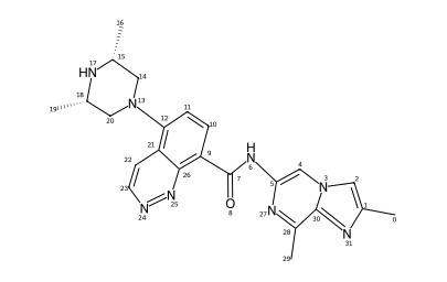 Cc1cn2cc(NC(=O)c3ccc(N4C[C@@H](C)N[C@@H](C)C4)c4ccnnc34)nc(C)c2n1